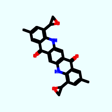 Cc1cc(C2CO2)c2[nH]c3cc4c(=O)c5cc(C)cc(C6CO6)c5[nH]c4cc3c(=O)c2c1